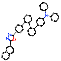 c1ccc(N(c2ccccc2)c2ccc(-c3ccccc3-c3ccccc3-c3ccc(-c4nnc(-c5ccc6ccccc6c5)o4)cc3)cc2)cc1